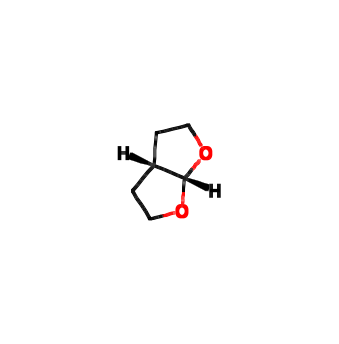 C1C[C@H]2CCO[C@H]2O1